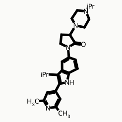 Cc1cc(-c2[nH]c3ccc(N4CCC(N5CCN(C(C)C)CC5)C4=O)cc3c2C(C)C)cc(C)n1